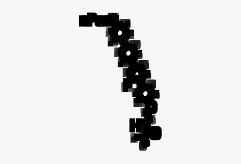 C=C(C)C(=O)NCCOC1CCC(c2ccc(C3CCC(C4CCC(CCCCC)CC4)CC3)cc2F)CC1